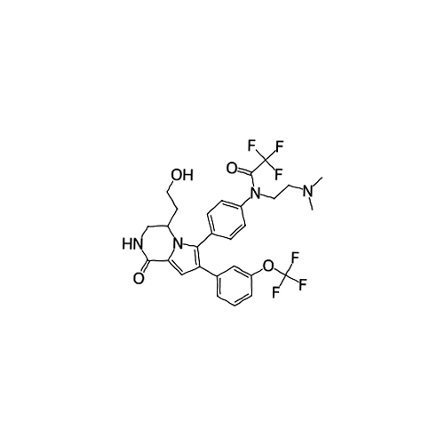 CN(C)CCN(C(=O)C(F)(F)F)c1ccc(-c2c(-c3cccc(OC(F)(F)F)c3)cc3n2C(CCO)CNC3=O)cc1